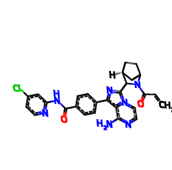 C=CC(=O)N1C2CC[C@@H](C2)C1c1nc(-c2ccc(C(=O)Nc3cc(Cl)ccn3)cc2)c2c(N)nccn12